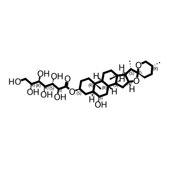 C[C@@H]1CC[C@@]2(OC1)O[C@H]1C[C@H]3[C@@H]4C[C@H](O)[C@H]5C[C@@H](OC(=O)[C@@H](O)[C@@H](O)[C@H](O)[C@H](O)[C@H](O)CO)CC[C@]5(C)[C@H]4CC[C@]3(C)[C@H]1[C@@H]2C